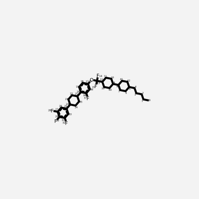 CCCCCC1CCC(C2CCC(C(F)(F)Oc3ccc(C4CCC(c5cc(F)c(F)c(F)c5)CC4)c(F)c3)CC2)CC1